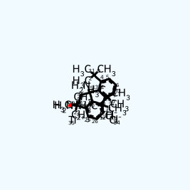 CC(C)(C)c1cccc(C(C)(C)C)c1C(N)(CCN)c1c(C(C)(C)C)cccc1C(C)(C)C.[Cl-].[Cl-].[Ti+2]